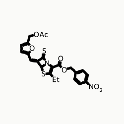 CCC1=C(C(=O)OCc2ccc([N+](=O)[O-])cc2)N2C(=S)C(=Cc3ccc(COC(C)=O)o3)C2S1